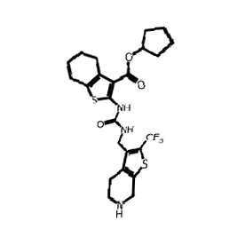 O=C(NCc1c(C(F)(F)F)sc2c1CCNC2)Nc1sc2c(c1C(=O)OC1CCCC1)CCCC2